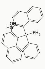 Oc1ccc2ccccc2c1C(P)(c1ccccc1)c1c(O)ccc2ccccc12